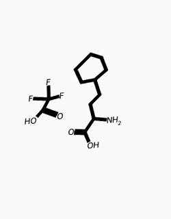 NC(CCC1CCCCC1)C(=O)O.O=C(O)C(F)(F)F